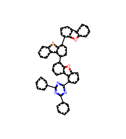 c1ccc(-c2nc(-c3ccccc3)nc(-c3cccc4oc5c(-c6ccc(-c7cccc8c7oc7ccccc78)c7sc8ccccc8c67)cccc5c34)n2)cc1